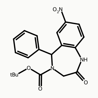 CC(C)(C)OC(=O)N1CC(=O)Nc2ccc([N+](=O)[O-])cc2C1c1ccccc1